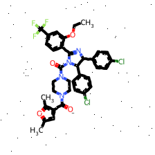 CCOc1cc(C(F)(F)F)ccc1C1=NC(c2ccc(Cl)cc2)C(c2ccc(Cl)cc2)N1C(=O)N1CCN(C(=O)c2cc(C)oc2C)CC1